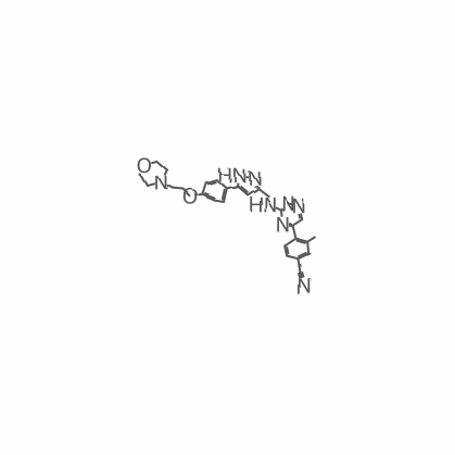 Cc1cc(C#N)ccc1-c1cnnc(NCc2cc(-c3ccc(OCCN4CCOCC4)cc3)[nH]n2)n1